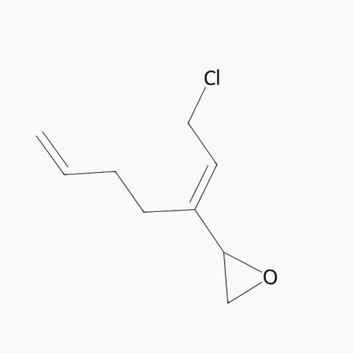 C=CCC/C(=C\CCl)C1CO1